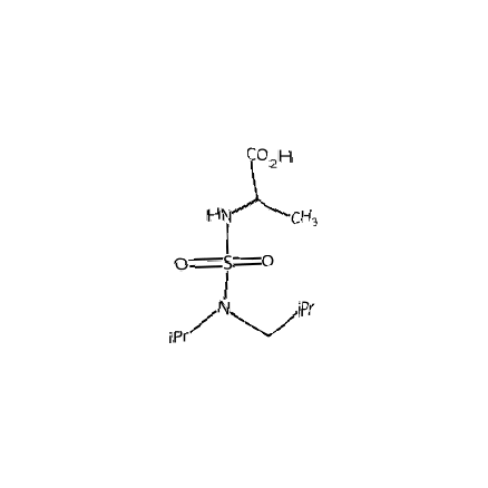 CC(C)CN(C(C)C)S(=O)(=O)NC(C)C(=O)O